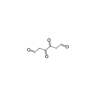 O=[C]CC(=O)C(=O)C[C]=O